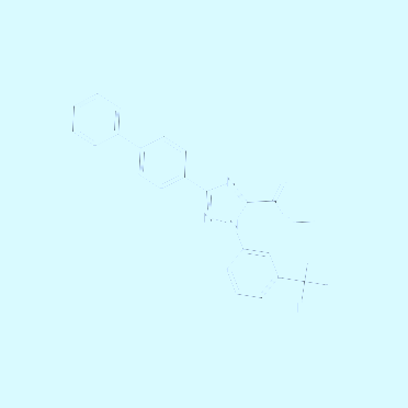 COC(=O)c1nc(-c2ccc(-c3ccccc3)cc2)nn1-c1cccc(C(F)(F)F)c1